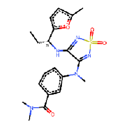 CC[C@@H](NC1=NS(=O)(=O)N=C1N(C)c1cccc(C(=O)N(C)C)c1)c1ccc(C)o1